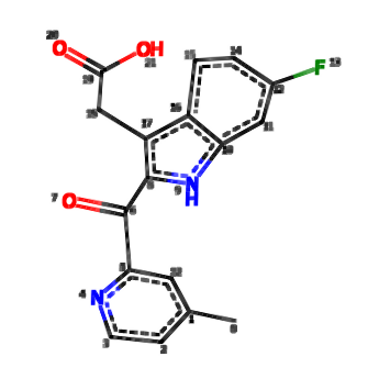 Cc1ccnc(C(=O)c2[nH]c3cc(F)ccc3c2CC(=O)O)c1